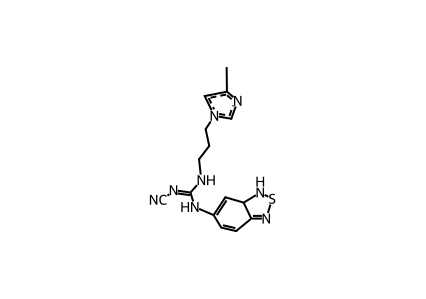 Cc1cn(CCCN/C(=N/C#N)NC2=CC3NSN=C3C=C2)cn1